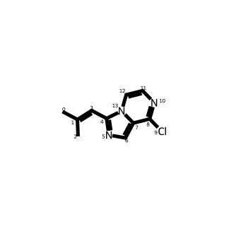 CC(C)=Cc1ncc2c(Cl)nccn12